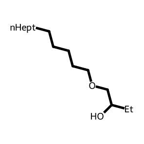 CCCCCCCCCCCCOCC(O)CC